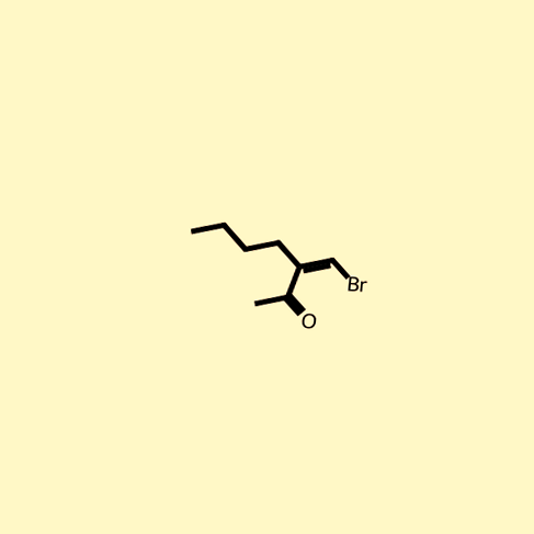 CCCC/C(=C/Br)C(C)=O